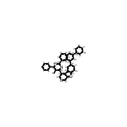 Cc1c(-c2ccccc2)nc(-c2ccccc2)nc1-c1cncc2oc3ccc(-c4cccc(-c5ccccc5)c4)cc3c12